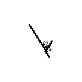 CCCCCCCCCCCCCCCCCCC(Cc1cc(C(C)(C)CCCCC)c(O)c(C(C)(C)CCCCC)c1)C(=O)O